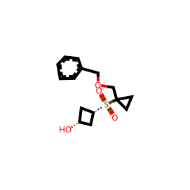 O=S(=O)([C@H]1C[C@@H](O)C1)C1(COCc2ccccc2)CC1